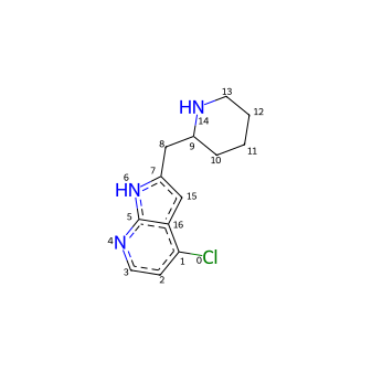 Clc1ccnc2[nH]c(CC3CCCCN3)cc12